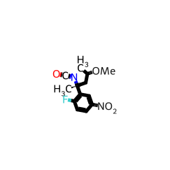 COC(C)C[C@](C)(N=C=O)c1cc([N+](=O)[O-])ccc1F